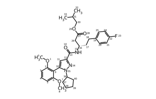 COc1cccc(OC)c1-c1cc(C(=O)N[C@@H](CCc2ccc(F)cc2)CC(=O)OCC(C)C)nn1C1CCCC1